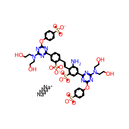 Nc1cc(-c2nc(Oc3ccc(S(=O)(=O)[O-])cc3)nc(N(CCO)CCO)n2)cc(S(=O)(=O)[O-])c1C=Cc1ccc(-c2nc(Oc3ccc(S(=O)(=O)[O-])cc3)nc(N(CCO)CCO)n2)cc1S(=O)(=O)[O-].[Na+].[Na+].[Na+].[Na+]